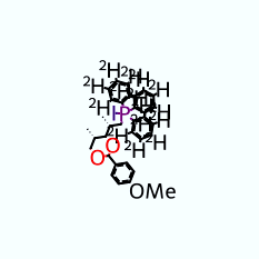 [2H]c1c([2H])c([2H])c(P(I)(C[C@@H](C)[C@@H]2OC(c3ccc(OC)cc3)OC[C@@H]2C)(c2c([2H])c([2H])c([2H])c([2H])c2[2H])c2c([2H])c([2H])c([2H])c([2H])c2[2H])c([2H])c1[2H]